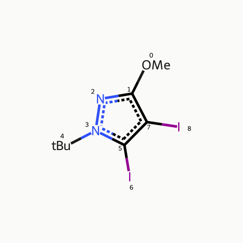 COc1nn(C(C)(C)C)c(I)c1I